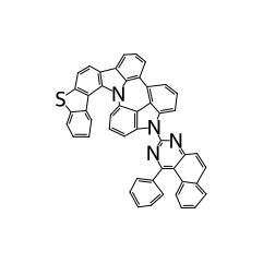 c1ccc(-c2nc(-n3c4cccc5c6cccc7c8ccc9sc%10ccccc%10c9c8n(c8cccc3c8c54)c67)nc3ccc4ccccc4c23)cc1